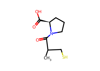 CC(CS)C(=O)N1CCC[C@@H]1C(=O)O